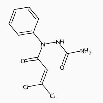 NC(=O)NN(C(=O)C=C(Cl)Cl)c1ccccc1